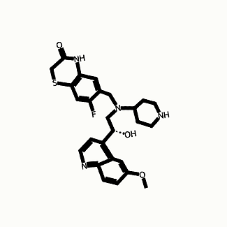 COc1ccc2nccc([C@@H](O)CN(Cc3cc4c(cc3F)SCC(=O)N4)C3CCNCC3)c2c1